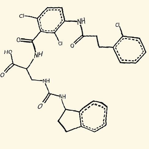 O=C(CCc1ccccc1Cl)Nc1ccc(Cl)c(C(=O)NC(CNC(=O)NC2CCc3ccccc32)C(=O)O)c1Cl